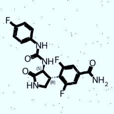 NC(=O)c1cc(F)c([C@@H]2CNC(=O)[C@H]2NC(=O)Nc2ccc(F)cc2)c(F)c1